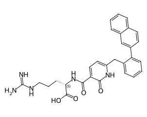 N=C(N)NCCC[C@H](NC(=O)c1ccc(Cc2ccccc2-c2ccc3ccccc3c2)[nH]c1=O)C(=O)O